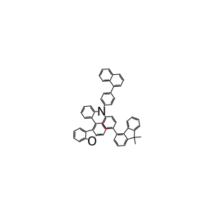 CC1(C)c2ccccc2-c2c(-c3ccc(N(c4ccc(-c5cccc6ccccc56)cc4)c4ccccc4-c4cccc5oc6ccccc6c45)cc3)cccc21